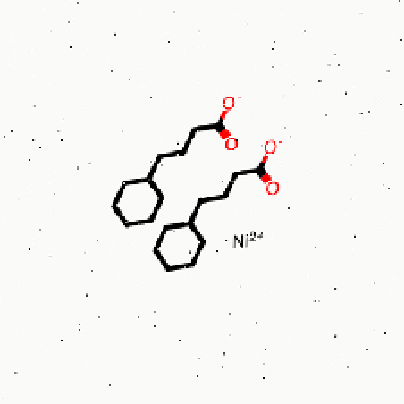 O=C([O-])CCCC1CCCCC1.O=C([O-])CCCC1CCCCC1.[Ni+2]